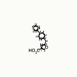 O=C(O)c1coc(Cc2ccc(-c3cscn3)cn2)n1